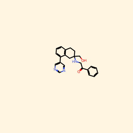 O=C(CNC1(CO)CCc2cccc(-c3cncnc3)c2C1)c1ccccc1